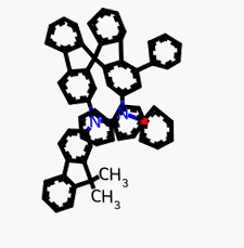 CC1(C)c2ccccc2-c2ccc(N(c3ccccc3)c3ccc4c(c3)C3(c5ccccc5-4)c4ccccc4-c4c(-c5ccccc5)cc(N(c5ccccc5)c5ccccc5)cc43)cc21